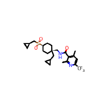 Cc1cc(C(F)(F)F)nc(C)c1C(=O)NC[C@]1(CC2CC2)CC[C@H](S(=O)(=O)CC2CC2)CC1